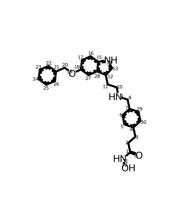 O=C(CCc1ccc(CNCCc2c[nH]c3ccc(OCc4ccccc4)cc23)cc1)NO